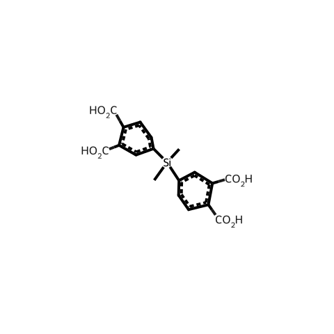 C[Si](C)(c1ccc(C(=O)O)c(C(=O)O)c1)c1ccc(C(=O)O)c(C(=O)O)c1